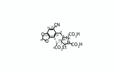 CCOC(=O)C[C@H]1CN(C(=O)O)N(C(=O)O)[C@@H]1Cc1cc2c(cc1C#N)OCO2